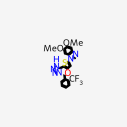 COc1cc2ncn(-c3cc(OCc4ccccc4C(F)(F)F)c(-c4nnn[nH]4)s3)c2cc1OC